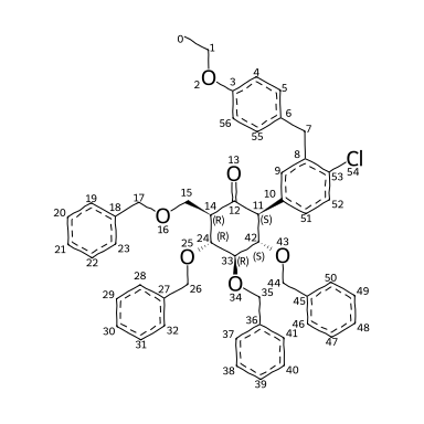 CCOc1ccc(Cc2cc([C@@H]3C(=O)[C@H](COCc4ccccc4)[C@@H](OCc4ccccc4)[C@H](OCc4ccccc4)[C@H]3OCc3ccccc3)ccc2Cl)cc1